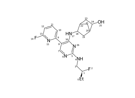 CC[C@H](F)CNc1ncc(-c2cccc(F)n2)c(NC2CC3CC2CC3O)n1